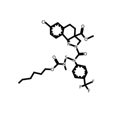 CCCCCCOC(=O)N(C)SN(C(=O)N1CC2(C(=O)OC)CCc3cc(Cl)ccc3C2=N1)c1ccc(C(F)(F)F)cc1